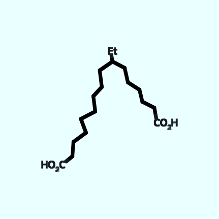 CCC(CCCCCCCCC(=O)O)CCCCCC(=O)O